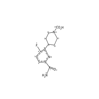 NC(=O)c1ccc(F)c(C2CCN(C(=O)O)CC2)n1